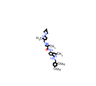 COc1ccc(CNc2nc(C)cc3c2CC[C@H]3NC(=O)c2cn(Cc3ccc(N4CC5CC5C4)nc3C)nc2C)c(OC)c1